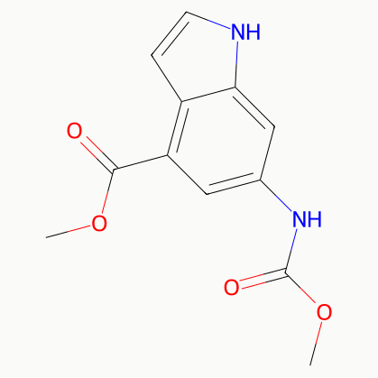 COC(=O)Nc1cc(C(=O)OC)c2cc[nH]c2c1